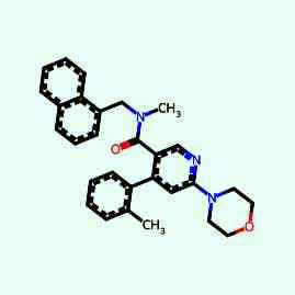 Cc1ccccc1-c1cc(N2CCOCC2)ncc1C(=O)N(C)Cc1cccc2ccccc12